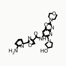 Nc1cccc(-c2nc(C(=O)Nc3cc4oc(N5CCOCC5)nc4nc3N3CC[C@@H](O)C3)co2)n1